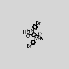 CCOC(=O)C1=C(Nc2ccc(Br)cc2)CC(C(=O)O)=C(Nc2ccc(Br)cc2)C1